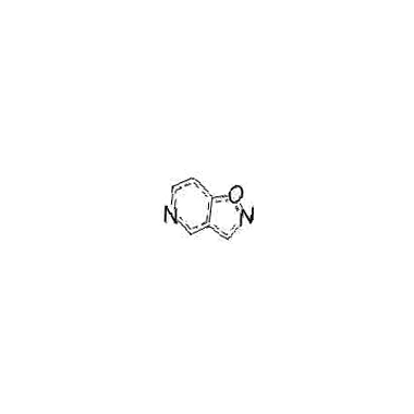 c1cc2oncc2cn1